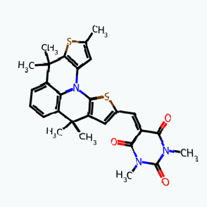 Cc1cc2c(s1)C(C)(C)c1cccc3c1N2c1sc(C=C2C(=O)N(C)C(=O)N(C)C2=O)cc1C3(C)C